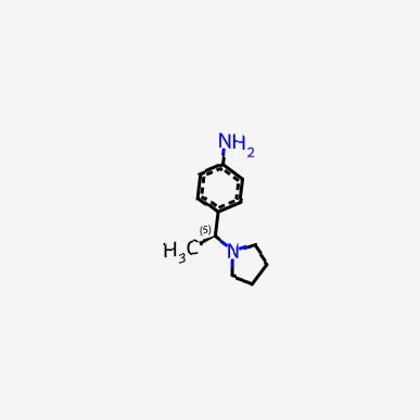 C[C@@H](c1ccc(N)cc1)N1CCCC1